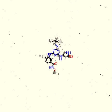 CONC(=O)c1ccc(C)c(Nc2nc(N[C@H]3CNC(=O)C3)nc(N(C)CC(C)(C)C)n2)c1